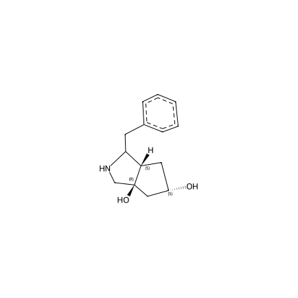 O[C@H]1C[C@H]2C(Cc3ccccc3)NC[C@@]2(O)C1